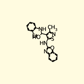 CCc1ccccc1NC(O)c1c(C)nsc1Nc1nc2ccccc2o1